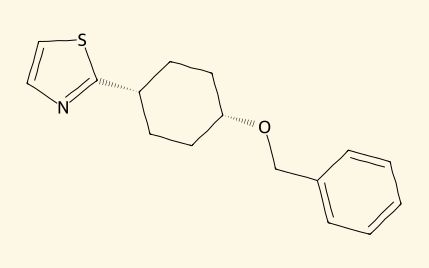 c1ccc(CO[C@H]2CC[C@@H](c3nccs3)CC2)cc1